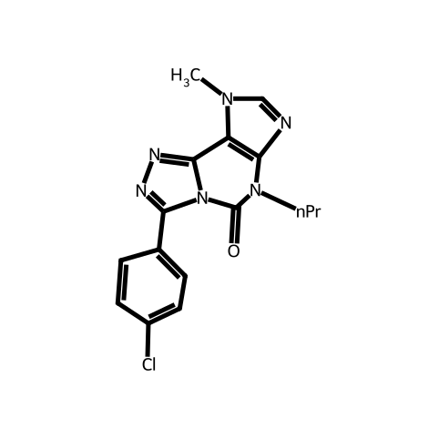 CCCn1c(=O)n2c(-c3ccc(Cl)cc3)nnc2c2c1ncn2C